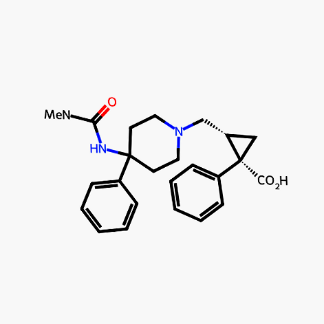 CNC(=O)NC1(c2ccccc2)CCN(C[C@@H]2C[C@@]2(C(=O)O)c2ccccc2)CC1